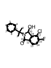 CC(C)(c1ccccc1)N1C(=O)c2ccc(F)c(Cl)c2C1O